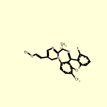 CCO/C=C/C1=CN=C2[C@H](C)N=C(c3c(F)cccc3F)c3c(ccc(C(F)(F)F)c3Cl)N2C1